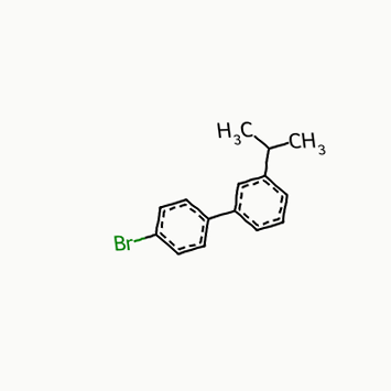 CC(C)c1cccc(-c2ccc(Br)cc2)c1